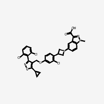 Cn1nc(C(=O)O)c2cc(N3CC(c4ccc(OCc5c(-c6c(Cl)cccc6Cl)noc5C5CC5)cc4Cl)C3)ccc21